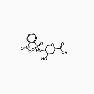 O=C(O)C1CC(O)C(NS(=O)(=O)c2ccccc2[N+](=O)[O-])CO1